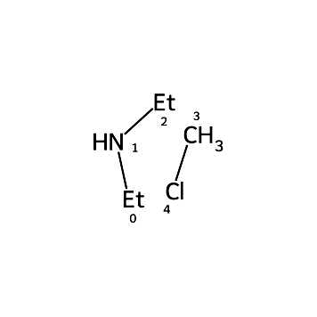 CCNCC.CCl